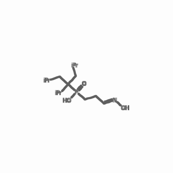 CC(C)CC(CC(C)C)(C(C)C)P(=O)(O)CCC=NO